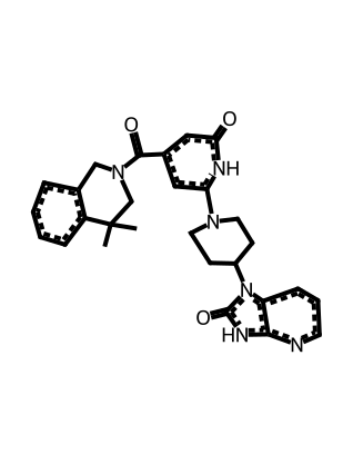 CC1(C)CN(C(=O)c2cc(N3CCC(n4c(=O)[nH]c5ncccc54)CC3)[nH]c(=O)c2)Cc2ccccc21